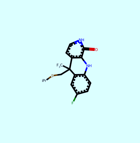 CC(C)SCC1(C(F)(F)F)c2cc(F)ccc2Nc2c1cc[nH]c2=O